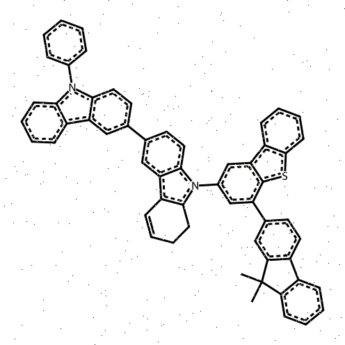 CC1(C)c2ccccc2-c2ccc(-c3cc(-n4c5c(c6cc(-c7ccc8c(c7)c7ccccc7n8-c7ccccc7)ccc64)C=CCC5)cc4c3sc3ccccc34)cc21